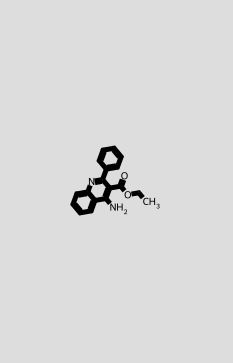 CCOC(=O)c1c(-c2ccccc2)nc2ccccc2c1N